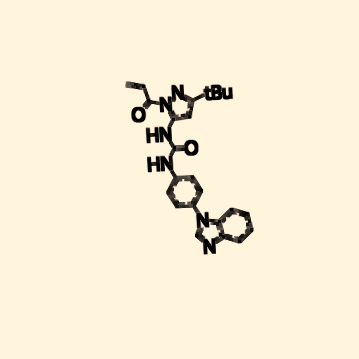 C=CC(=O)n1nc(C(C)(C)C)cc1NC(=O)Nc1ccc(-n2cnc3ccccc32)cc1